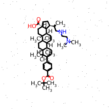 C=C(CNCCN(C)C)[C@@H]1CC[C@]2(C(=O)O)CC[C@]3(C)[C@H](CC[C@@H]4[C@@]5(C)CC=C(c6ccc(C(=O)OC(C)(C)C)cc6)C(C)(C)[C@@H]5CC[C@]43C)[C@@H]12